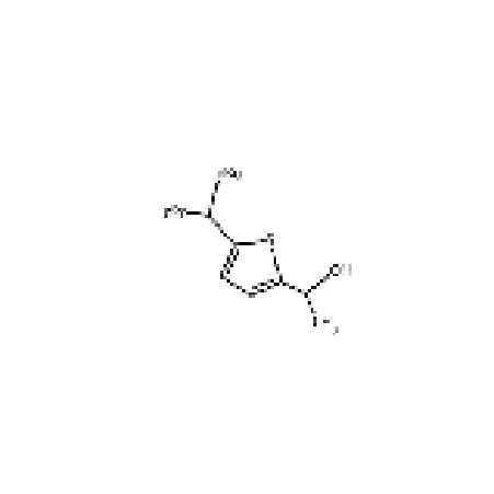 CCCCC(CCC)c1ccc(C(C)O)s1